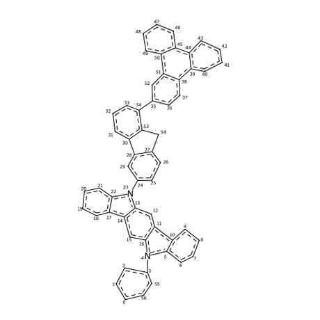 c1ccc(-n2c3ccccc3c3cc4c(cc32)c2ccccc2n4-c2ccc3c(c2)-c2cccc(-c4ccc5c6ccccc6c6ccccc6c5c4)c2C3)cc1